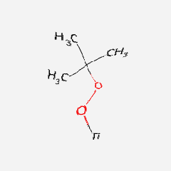 CC(C)(C)O[O][Ti]